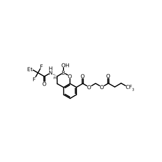 CCC(F)(F)C(=O)N[C@H]1Cc2cccc(C(=O)OCOC(=O)CCC(F)(F)F)c2OB1O